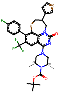 C[C@@H]1CN(c2nc(=O)n3c4c(c(-c5ccc(F)cc5)c(C(F)(F)F)cc24)SCC(c2ccsc2)C3)C[C@H](C)N1C(=O)OC(C)(C)C